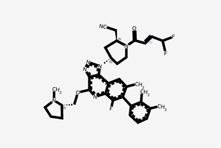 Cc1cccc(-c2c(C)cc3c(nc(OC[C@@H]4CCCN4C)c4nnn([C@H]5CCN(C(=O)/C=C/C(F)F)[C@H](CC#N)C5)c43)c2F)c1C